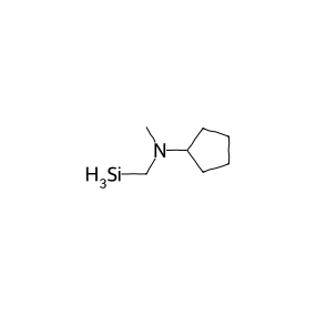 CN(C[SiH3])C1CCCC1